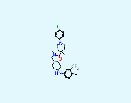 Cc1ccc(NC2CCC(CN(C)C(=O)C3(C)CCN(c4ccc(Cl)cc4)CC3)CC2)cc1C(F)(F)F